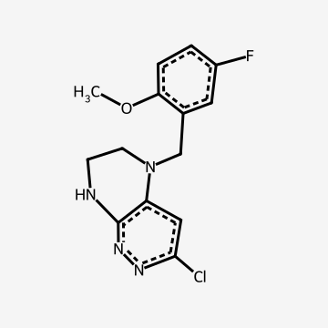 COc1ccc(F)cc1CN1CCNc2nnc(Cl)cc21